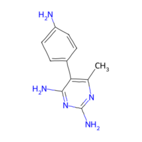 Cc1nc(N)nc(N)c1-c1ccc(N)cc1